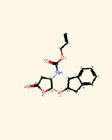 C=CCOC(=O)N[C@H]1CC(=O)O[C@H]1OC1Cc2ccccc2C1